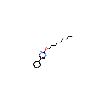 CCCCCCCCCOc1ncc(-c2c[c]ccc2)cn1